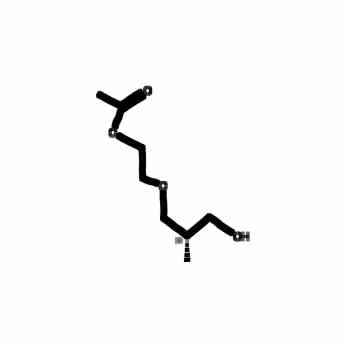 CC(=O)OCCOC[C@@H](C)CO